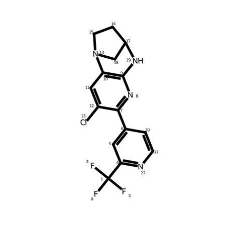 FC(F)(F)c1cc(-c2nc3c(cc2Cl)N2CCC(C2)N3)ccn1